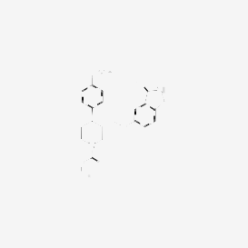 COc1ccc([C@@H]2CCN(C(=O)OC(C)(C)C)C[C@H]2COc2ccc3c(c2)C(=O)NC3)cc1